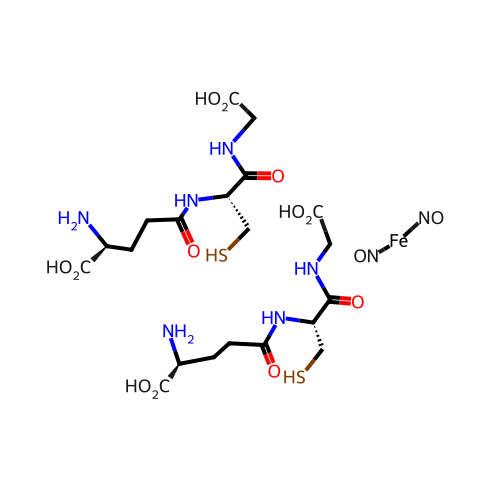 N[C@@H](CCC(=O)N[C@@H](CS)C(=O)NCC(=O)O)C(=O)O.N[C@@H](CCC(=O)N[C@@H](CS)C(=O)NCC(=O)O)C(=O)O.O=[N][Fe][N]=O